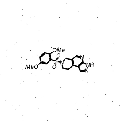 COc1ccc(OC)c(S(=O)(=O)N2CCc3c(cnc4[nH]ncc34)C2)c1